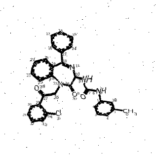 Cc1cccc(NC(=O)NC2N=C(c3ccccc3)c3ccccc3N(CC(=O)c3ccccc3Cl)C2=O)c1